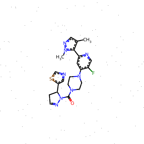 Cc1cnn(C)c1-c1cc(N2CCN(C(=O)N3N=CCC3c3cncs3)CC2)c(F)cn1